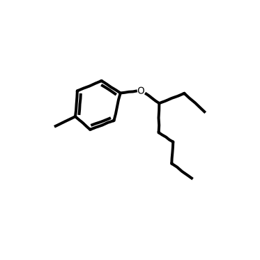 CCCCC(CC)Oc1ccc(C)cc1